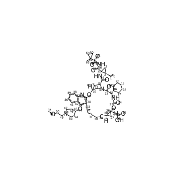 C=C[C@@H]1C[C@]1(NC(=O)[C@@H]1C[C@@H]2CN1C(=O)[C@H](C1CCCCC1)NC(=O)O[C@@H]1C[C@H]1CCCCCc1c(nc3ccccc3c1OC1CCN(CCOC)CC1)O2)C(=O)NS(=O)(=O)C1(C)CC1.O=CO